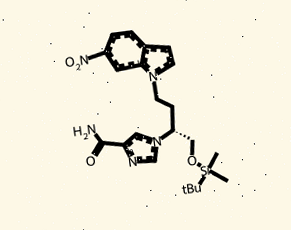 CC(C)(C)[Si](C)(C)OC[C@@H](CCn1ccc2ccc([N+](=O)[O-])cc21)n1cnc(C(N)=O)c1